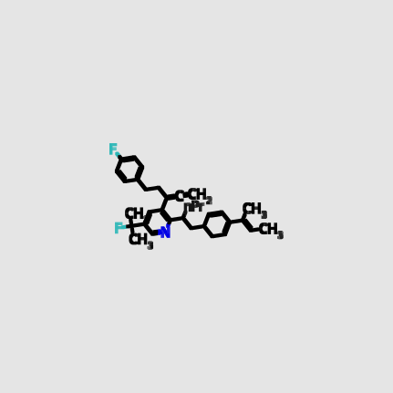 C=C=C(CCc1ccc(F)cc1)c1cc(C(C)(C)F)cnc1C(CCC)CC1C=CC(/C(C)=C/C)=CC1